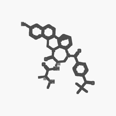 CN[C@@H](C)C(=O)N[C@H]1CN(C(=O)c2ccc(C(=O)C(C)(C)C)cc2)c2ccccc2N(Cc2c(OC)ccc3cc(Br)ccc23)C1=O